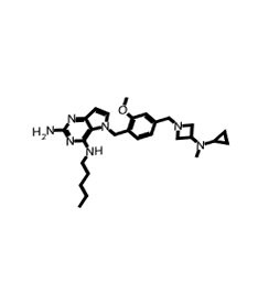 CCCCCNc1nc(N)nc2ccn(Cc3ccc(CN4CC(N(C)C5CC5)C4)cc3OC)c12